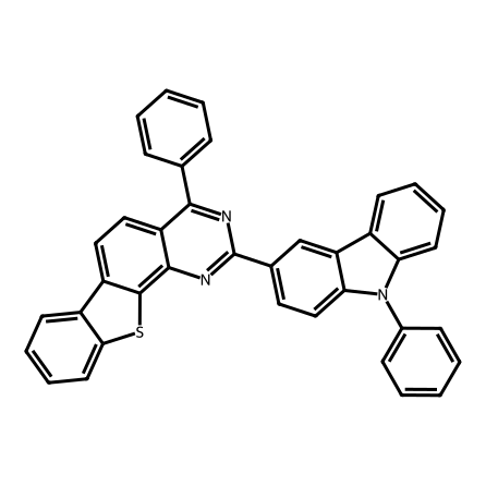 c1ccc(-c2nc(-c3ccc4c(c3)c3ccccc3n4-c3ccccc3)nc3c2ccc2c4ccccc4sc23)cc1